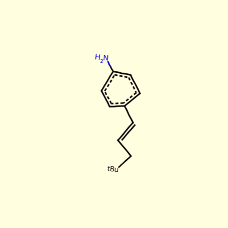 CC(C)(C)C/C=C/c1ccc(N)cc1